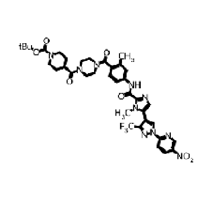 Cc1cc(NC(=O)c2ncc(-c3cn(-c4ccc([N+](=O)[O-])cn4)nc3C(F)(F)F)n2C)ccc1C(=O)N1CCN(C(=O)C2CCN(C(=O)OC(C)(C)C)CC2)CC1